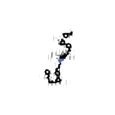 Cc1nc(Nc2ncc(C(=O)Nc3c(C)cccc3Cl)s2)cc(N2CCN(CCOC/C(N)=C/N(N)C(C)(C)C(C)(C)CNC(=O)c3cccc(-c4cc(Nc5ccc(OC(F)(F)F)cc5)ncn4)c3)CC2)n1